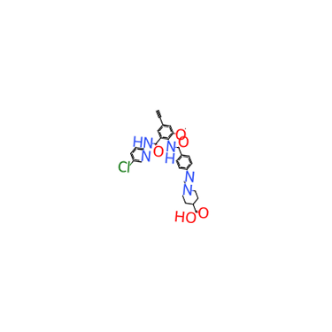 C#Cc1cc(OC)c(NC(=O)c2ccc(N=CN3CCC(C(=O)O)CC3)cc2)c(C(=O)Nc2ccc(Cl)cn2)c1